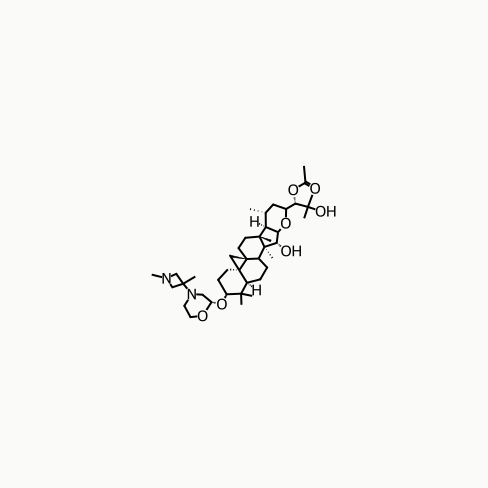 CC(=O)O[C@@H](C1C[C@@H](C)[C@H]2C(O1)[C@H](O)[C@@]1(C)C3CC[C@H]4C(C)(C)[C@@H](O[C@H]5CN(C6(C)CN(C)C6)CCO5)CC[C@@]45C[C@@]35CC[C@]21C)C(C)(C)O